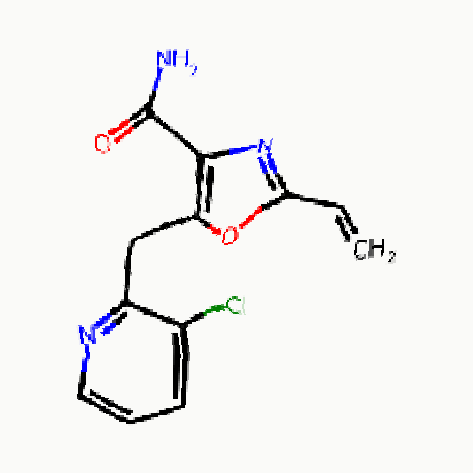 C=Cc1nc(C(N)=O)c(Cc2ncccc2Cl)o1